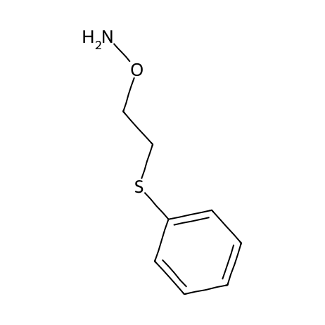 NOCCSc1ccccc1